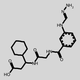 NN=CNc1cccc(C(=O)NCC(=O)NC(CC(=O)O)C2CCCCC2)c1